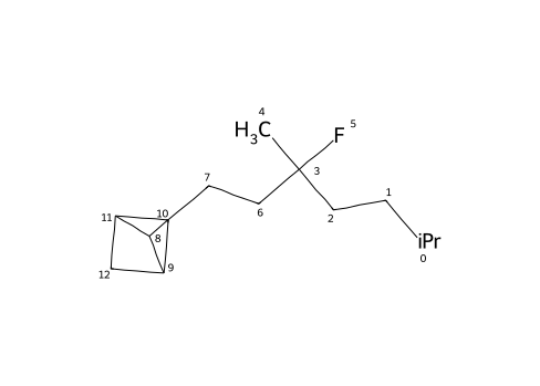 CC(C)CCC(C)(F)CCC1C2CC1C2